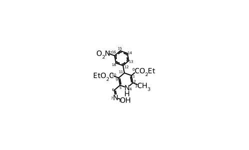 CCOC(=O)C1=C(C)NC(/C=N\O)=C(C(=O)OCC)C1c1cccc([N+](=O)[O-])c1